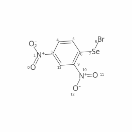 O=[N+]([O-])c1ccc([Se]Br)c([N+](=O)[O-])c1